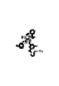 C#Cc1ccccc1C1(NC[C@@H](O)[C@H](Cc2cc(F)cc(F)c2)NC(=O)c2cc(C)cc(C(=O)N3CCC[C@@H]3COC)c2)CC1